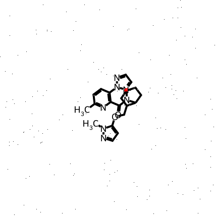 Cc1ccc(-n2nccn2)c(C(=O)N2C3CCC2C(COc2ccnn2C)C3)n1